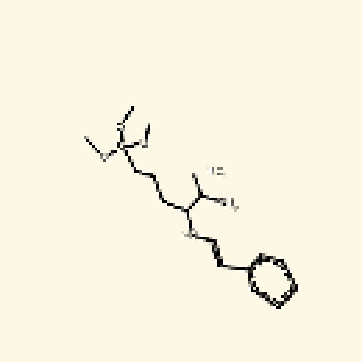 CO[Si](CCCC(NC=Cc1ccccc1)C(C)N)(OC)OC.Cl